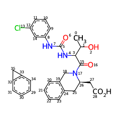 CC(O)C(NC(=O)Nc1cccc(Cl)c1)C(=O)N1Cc2ccccc2C[C@@H]1CC(=O)O.c1ccc2c(c1)C2